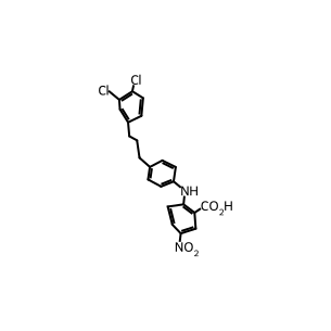 O=C(O)c1cc([N+](=O)[O-])ccc1Nc1ccc(CCCc2ccc(Cl)c(Cl)c2)cc1